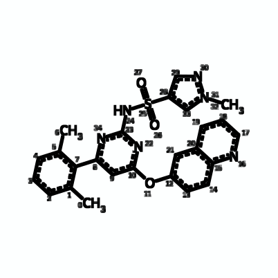 Cc1cccc(C)c1-c1cc(Oc2ccc3ncccc3c2)nc(NS(=O)(=O)c2cnn(C)c2)n1